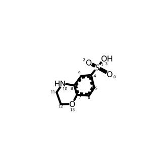 O=S(=O)(O)c1ccc2c(c1)NCCO2